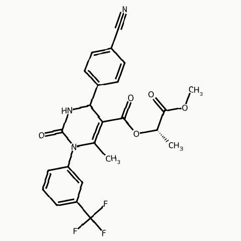 COC(=O)[C@H](C)OC(=O)C1=C(C)N(c2cccc(C(F)(F)F)c2)C(=O)NC1c1ccc(C#N)cc1